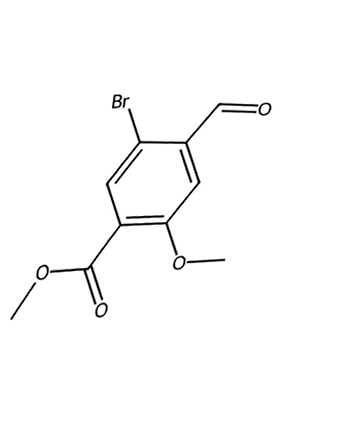 COC(=O)c1cc(Br)c(C=O)cc1OC